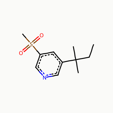 CCC(C)(C)c1cncc(S(C)(=O)=O)c1